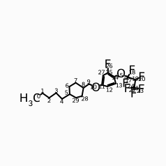 CCCCCC1CCC(COc2ccc(OC(F)(F)C(F)C(F)(F)F)c(F)c2)CC1